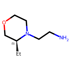 CC[C@H]1COCCN1CCN